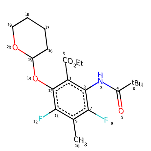 CCOC(=O)c1c(NC(=O)C(C)(C)C)c(F)c(C)c(F)c1OC1CCCCO1